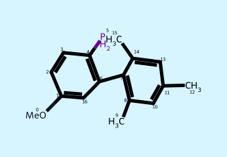 COc1ccc(P)c(-c2c(C)cc(C)cc2C)c1